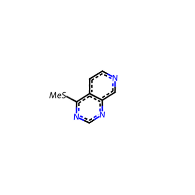 CSc1ncnc2cnccc12